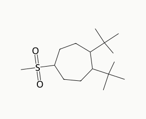 CC(C)(C)C1CCC(S(C)(=O)=O)CCC1C(C)(C)C